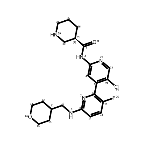 O=C(Nc1cc(-c2nc(NCC3CCOCC3)ccc2F)c(Cl)cn1)[C@@H]1CCCNC1